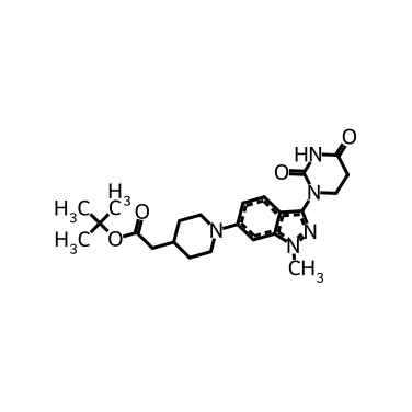 Cn1nc(N2CCC(=O)NC2=O)c2ccc(N3CCC(CC(=O)OC(C)(C)C)CC3)cc21